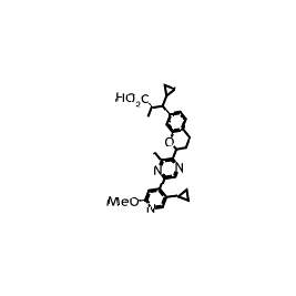 COc1cc(-c2cnc(C3CCc4ccc(C(C5CC5)[C@H](C)C(=O)O)cc4O3)c(C)n2)c(C2CC2)cn1